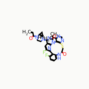 C=CC(=O)N1CCN(c2nc(=O)n3c4nc(c(F)cc24)-c2c(F)cccc2NC(=O)CSc2ncnc(C(C)C)c2-3)[C@H]2C[C@H]21